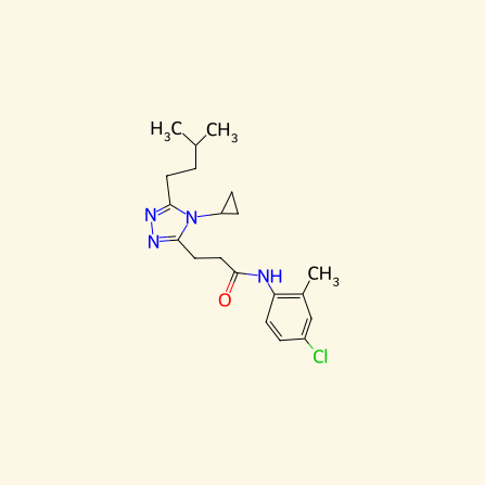 Cc1cc(Cl)ccc1NC(=O)CCc1nnc(CCC(C)C)n1C1CC1